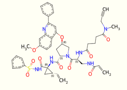 C#CCN(C)C(=O)CCCC(=O)N[C@@H](CNC(=O)C=C)C(=O)N1C[C@H](Oc2cc(-c3ccccc3)nc3cc(OC)ccc23)C[C@H]1C(=O)N[C@]1(C(=O)NS(=O)(=O)c2ccccc2)C[C@H]1C=C